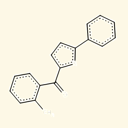 Cc1ccccc1C(=O)c1ccc(-c2ccccc2)s1